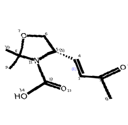 CC(=O)/C=C/[C@H]1COC(C)(C)N1C(=O)O